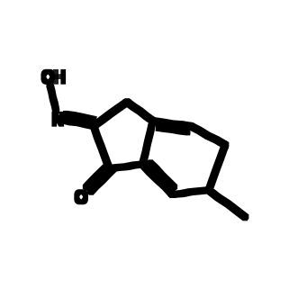 CC1C=C2C(=O)/C(=N/O)CC2=CC1